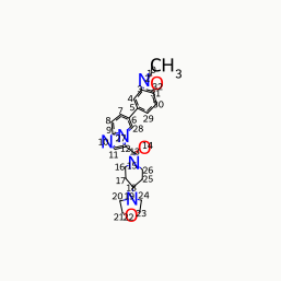 Cc1nc2cc(-c3ccc4ncc(C(=O)N5CCC(N6CCOCC6)CC5)n4c3)ccc2o1